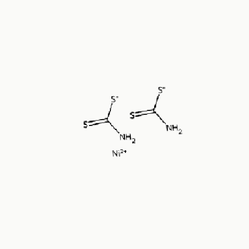 NC(=S)[S-].NC(=S)[S-].[Ni+2]